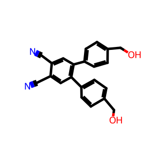 N#Cc1cc(-c2ccc(CO)cc2)c(-c2ccc(CO)cc2)cc1C#N